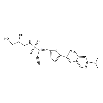 CN(C)c1ccc2cc(-c3ccc(/C=C(\C#N)S(=O)(=O)NCC(O)CO)s3)ccc2c1